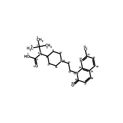 CC(C)(C)N(C(=O)O)C1CCN(CCn2c(=O)ccc3ccc(Cl)nc32)CC1